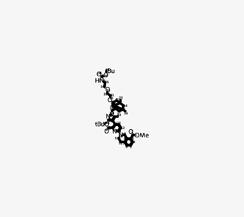 COC(=O)c1cccc2c1CN(c1ccc(-c3cnn(CC45CC6(C)CC(C)(C4)CC(OCCOCCNC(=O)OC(C)(C)C)(C6)C5)c3C)c(C(=O)OC(C)(C)C)n1)CC2